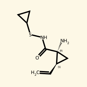 C=C[C@@H]1C[C@]1(N)C(=O)NSC1CC1